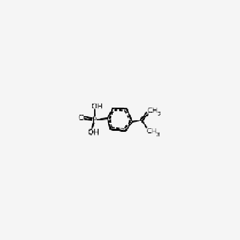 C=C(C)c1ccc(P(=O)(O)O)cc1